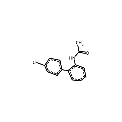 CC(=O)Nc1ccccc1-c1ccc(Cl)cc1